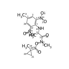 Cc1cc([N+](=O)[O-])c(NC(C)C(=O)N(C)OC(=O)C2(C)CC2)c([N+](=O)[O-])c1